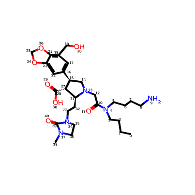 CCCCN(CCCCN)C(=O)CN1C[C@H](c2cc(CO)c3c(c2)OCO3)[C@@H](C(=O)O)[C@@H]1CCN1CCN(C)C1=O